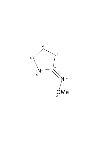 CO/N=C1/CCC[N]1